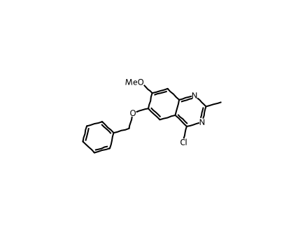 COc1cc2nc(C)nc(Cl)c2cc1OCc1ccccc1